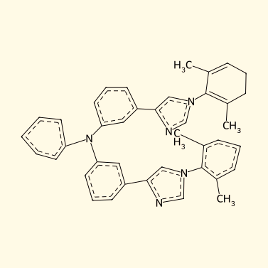 CC1=CCCC(C)=C1n1cnc(-c2cccc(N(c3ccccc3)c3cccc(-c4cn(-c5c(C)cccc5C)cn4)c3)c2)c1